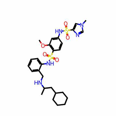 COc1cc(NS(=O)(=O)c2cn(C)cn2)ccc1S(=O)(=O)Nc1ccccc1CNC(C)CC1CCCCC1